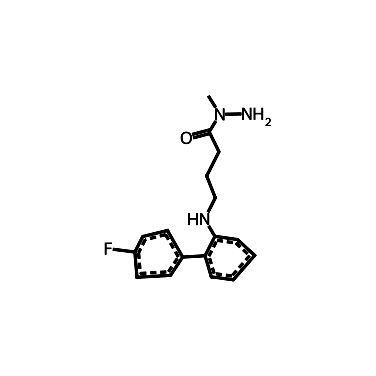 CN(N)C(=O)CCCNc1ccccc1-c1ccc(F)cc1